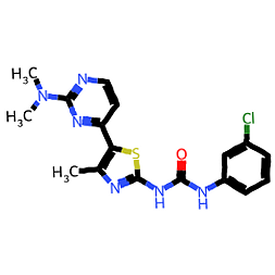 Cc1nc(NC(=O)Nc2cccc(Cl)c2)sc1-c1ccnc(N(C)C)n1